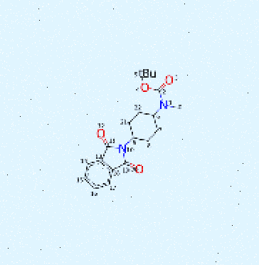 CN(C(=O)OC(C)(C)C)C1CCC(N2C(=O)c3ccccc3C2=O)CC1